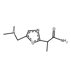 C[C](C(N)=O)c1ncc(CN(C)C)o1